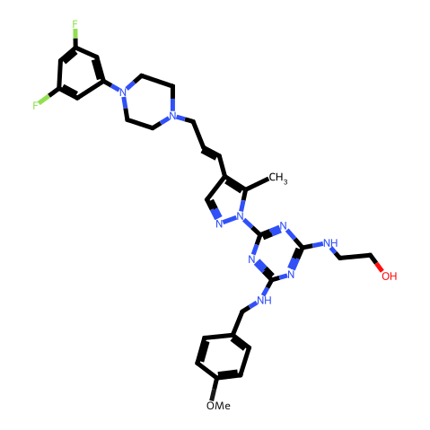 COc1ccc(CNc2nc(NCCO)nc(-n3ncc(/C=C/CN4CCN(c5cc(F)cc(F)c5)CC4)c3C)n2)cc1